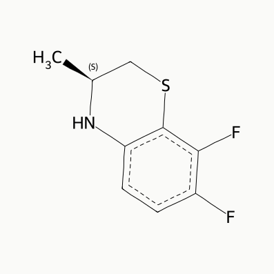 C[C@H]1CSc2c(ccc(F)c2F)N1